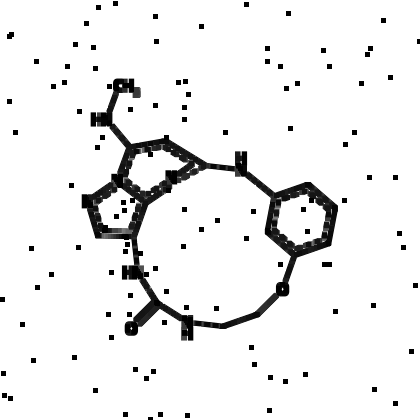 CNc1cc2nc3c(cnn13)NC(=O)NCCOc1cccc(c1)N2